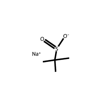 CC(C)(C)S(=O)[O-].[Na+]